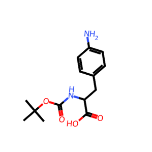 CC(C)(C)OC(=O)NC(Cc1ccc(N)cc1)C(=O)O